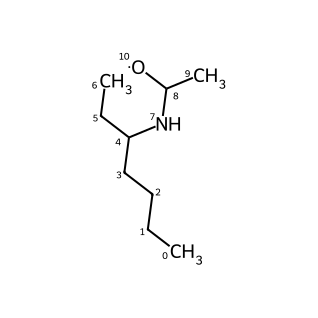 CCCCC(CC)NC(C)[O]